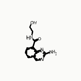 Nc1ncc2cccc(C(=O)NCCO)c2n1